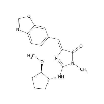 CO[C@@H]1CCC[C@H]1NC1=N/C(=C\c2ccc3ncoc3c2)C(=O)N1C